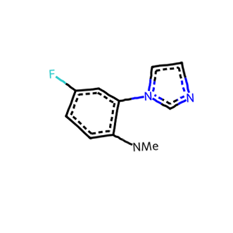 CNc1ccc(F)cc1-n1ccnc1